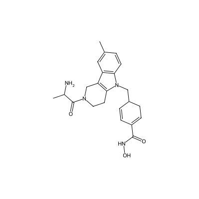 Cc1ccc2c(c1)c1c(n2CC2C=CC(C(=O)NO)=CC2)CCN(C(=O)C(C)N)C1